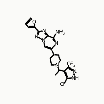 CC(c1c(C(F)(F)F)n[nH]c1Cl)N1CCC(c2cn3nc(-c4ccco4)nc3c(N)n2)CC1